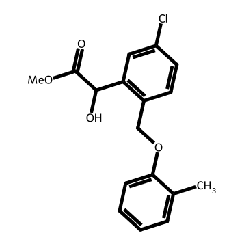 COC(=O)C(O)c1cc(Cl)ccc1COc1ccccc1C